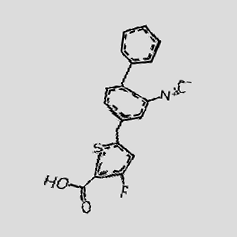 [C-]#[N+]c1cc(-c2cc(F)c(C(=O)O)s2)ccc1-c1ccccc1